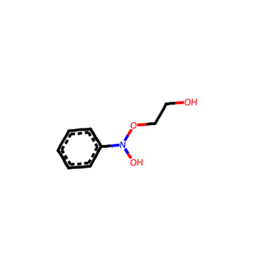 OCCON(O)c1ccccc1